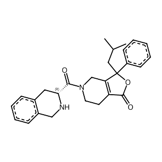 CC(C)CC1(c2ccccc2)OC(=O)C2=C1CN(C(=O)[C@H]1Cc3ccccc3CN1)CC2